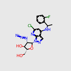 CC(Nc1cc(Cl)nc2c1cnn2[C@@H]1O[C@H](CO)[C@@H](O)[C@@H]1N=[N+]=[N-])c1ccccc1F